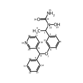 CC(c1cccc(OC(c2ccccc2)c2cccnc2)c1)N(O)C(N)=O